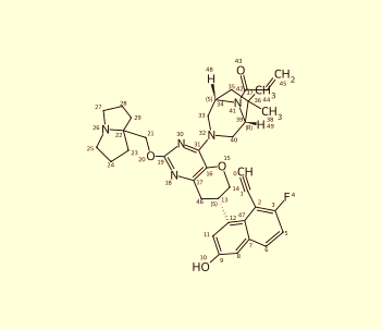 C#Cc1c(F)ccc2cc(O)cc([C@H]3COc4c(nc(OCC56CCCN5CCC6)nc4N4C[C@@H]5CC(C)(C)[C@H](C4)N5C(=O)C=C)C3)c12